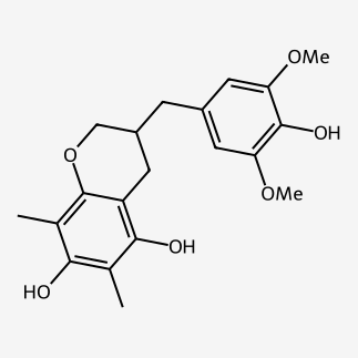 COc1cc(CC2COc3c(C)c(O)c(C)c(O)c3C2)cc(OC)c1O